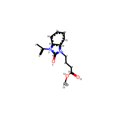 C=C(C)n1c(=O)n(CCCC(=O)[O][Rb])c2ccccc21